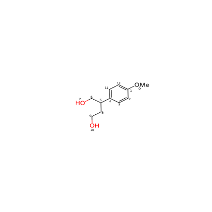 COc1ccc(C(CO)CCO)cc1